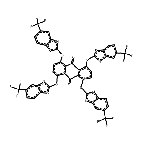 O=C1c2c(Sc3nc4cc(C(F)(F)F)ccc4s3)ccc(Sc3nc4cc(C(F)(F)F)ccc4s3)c2C(=O)c2c(Sc3nc4cc(C(F)(F)F)ccc4s3)ccc(Sc3nc4cc(C(F)(F)F)ccc4s3)c21